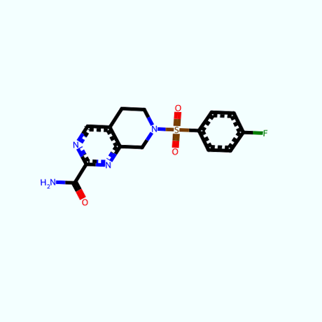 NC(=O)c1n[c]c2c(n1)CN(S(=O)(=O)c1ccc(F)cc1)CC2